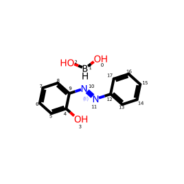 OBO.Oc1ccccc1/N=N/c1ccccc1